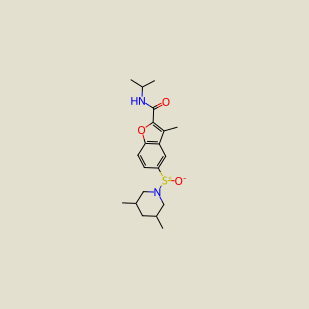 Cc1c(C(=O)NC(C)C)oc2ccc([S+]([O-])N3CC(C)CC(C)C3)cc12